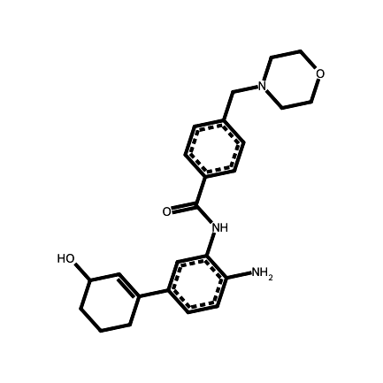 Nc1ccc(C2=CC(O)CCC2)cc1NC(=O)c1ccc(CN2CCOCC2)cc1